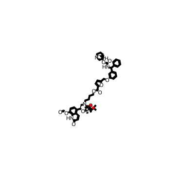 CC(C)(C)OC(=O)N(CCCCOC(=O)c1ccc(COc2cccc(C(NC(=O)O[C@H]3CN4CCC3CC4)c3ccccc3)c2)o1)C[C@@H](O[Si](C)(C)C(C)(C)C)c1ccc(OC=O)c2[nH]c(=O)ccc12